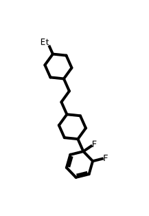 CCC1CCC(CCC2CCC(C3(F)C=CC=CC3F)CC2)CC1